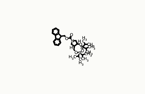 CC(C)[Si]1(C(C)C)OC[C@H]2CN(C(=O)OCC3c4ccccc4-c4ccccc43)C[C@@H]2O[Si](C(C)C)(C(C)C)O1